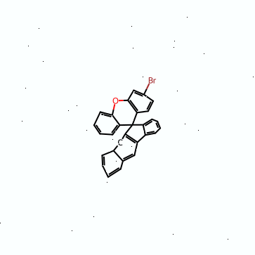 Brc1ccc2c(c1)Oc1ccccc1C21C2=C(C=C3C=CC=CC3C2)c2ccccc21